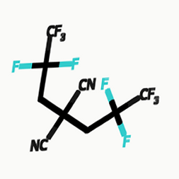 N#CC(C#N)(CC(F)(F)C(F)(F)F)CC(F)(F)C(F)(F)F